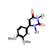 CCn1c(-c2ccc(OC)c(OC)c2)cc(=O)n(CC)c1=O